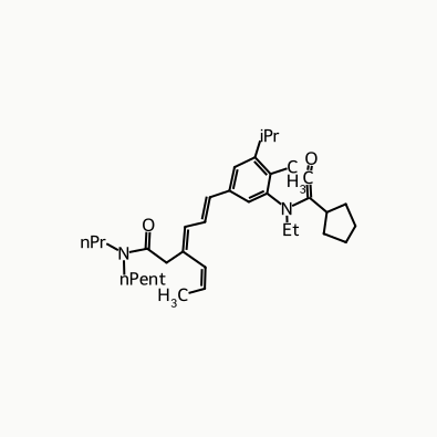 C\C=C/C(=C\C=C\c1cc(C(C)C)c(C)c(N(CC)C(=C=O)C2CCCC2)c1)CC(=O)N(CCC)CCCCC